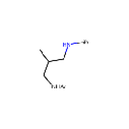 CC(=O)NCC(C)CNC(C)C